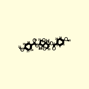 COc1ccc(C(=O)OC2CO[C@H]3C(OC(=O)c4ccc(OC)cc4)CO[C@@H]23)cc1